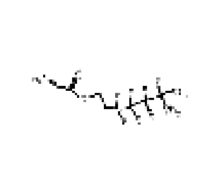 C=CC(=O)OCCC(F)(F)C(F)(F)C(F)(F)C(F)(P)C(F)(F)F